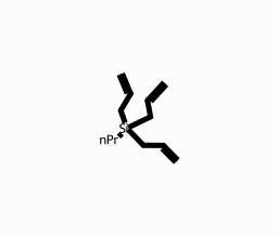 [CH2]CC[Si](CC=C)(CC=C)CC=C